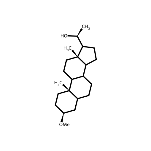 CO[C@H]1CC[C@@]2(C)C(CCC3C2CC[C@@]2(C)C3CCC2[C@H](C)O)C1